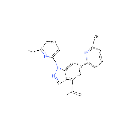 C=C(C)c1cc(-c2cccc(C(C)=O)n2)cc2c1cnn2-c1cccc(C)n1